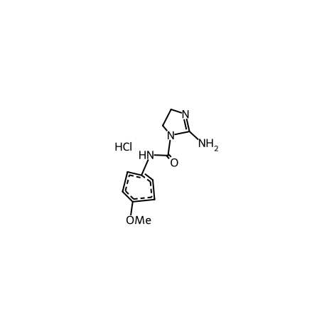 COc1ccc(NC(=O)N2CCN=C2N)cc1.Cl